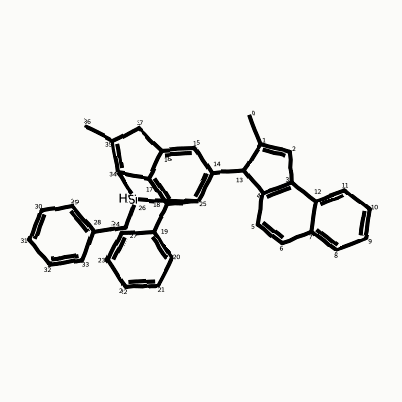 CC1=Cc2c(ccc3ccccc23)C1c1cc2c3c(-c4ccccc4)c1[SiH](Cc1ccccc1)C3=C(C)[CH]2